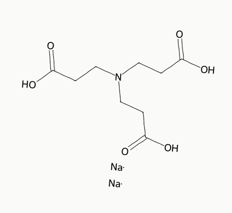 O=C(O)CCN(CCC(=O)O)CCC(=O)O.[Na].[Na]